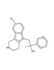 CC(O)(Cn1c2c(c3cc(Cl)ccc31)CNCC2)c1cccnc1